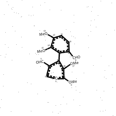 COc1ccc(C=O)c(-c2c(C=O)ccc(OC)c2OC)c1OC